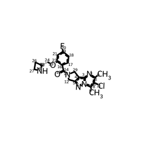 Cc1nc2c3c(nn2c(C)c1Cl)CN(C(=O)c1ccc(F)cc1OC[C@H]1CCN1)C3